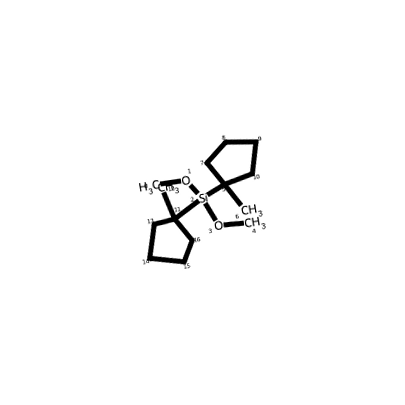 CO[Si](OC)(C1(C)CCCC1)C1(C)CCCC1